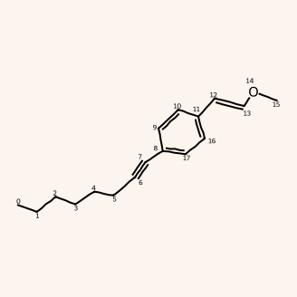 CCCCCCC#Cc1ccc(C=COC)cc1